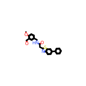 COc1ccc(CNC(=O)Cc2nc3ccc(-c4ccccc4)cc3s2)cc1C=O